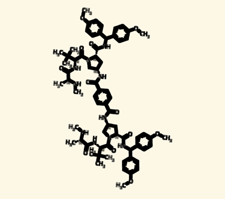 CN[C@@H](C)C(=O)N[C@H](C(=O)N1C[C@@H](NC(=O)c2ccc(C(=O)N[C@H]3C[C@@H](C(=O)NC(c4ccc(OC)cc4)c4ccc(OC)cc4)N(C(=O)[C@@H](NC(=O)[C@H](C)NC)C(C)(C)C)C3)cc2)C[C@H]1C(=O)NC(c1ccc(OC)cc1)c1ccc(OC)cc1)C(C)(C)C